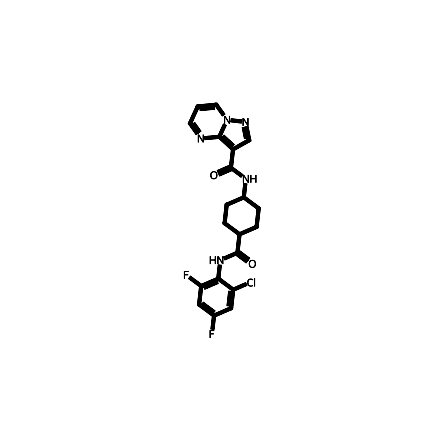 O=C(NC1CCC(C(=O)Nc2c(F)cc(F)cc2Cl)CC1)c1cnn2cccnc12